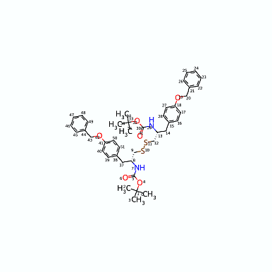 CC(C)(C)OC(=O)N[C@@H](CSSC[C@@H](Cc1ccc(OCc2ccccc2)cc1)NC(=O)OC(C)(C)C)Cc1ccc(OCc2ccccc2)cc1